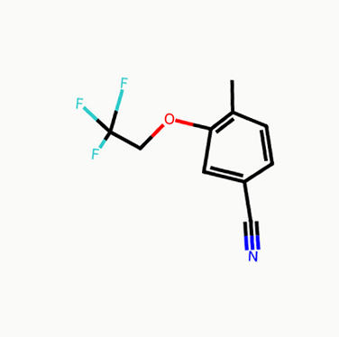 Cc1ccc(C#N)cc1OCC(F)(F)F